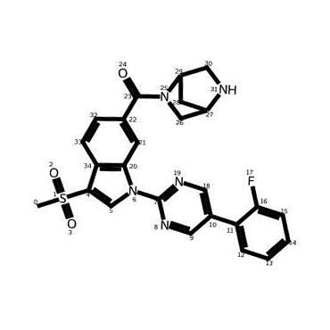 CS(=O)(=O)c1cn(-c2ncc(-c3ccccc3F)cn2)c2cc(C(=O)N3CC4CC3CN4)ccc12